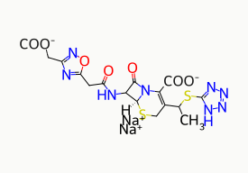 CC(Sc1nnn[nH]1)C1=C(C(=O)[O-])N2C(=O)C(NC(=O)Cc3nc(CC(=O)[O-])no3)[C@@H]2SC1.[Na+].[Na+]